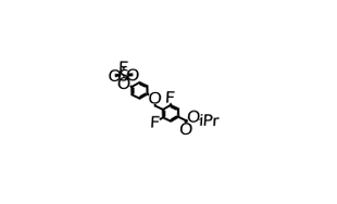 CC(C)OC(=O)c1cc(F)c(COc2ccc(OS(=O)(=O)F)cc2)c(F)c1